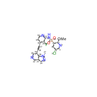 COc1ncc(Cl)cc1S(=O)(=O)Nc1nccc(C#Cc2cncc3cnn(C)c23)c1F